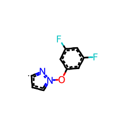 Fc1cc(F)cc(On2cc[c]n2)c1